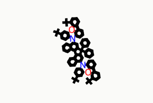 CC(C)(C)c1ccc(N(c2cc3c(c4ccccc24)-c2c(cc(N(c4ccc(C(C)(C)C)cc4)c4cccc5c4oc4c(C(C)(C)C)cccc45)c4ccccc24)C3(c2ccccc2)c2ccccc2)c2cccc3c2oc2c(C(C)(C)C)cccc23)cc1